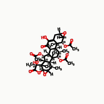 CC(=O)O[C@H]1[C@@H]2[C@H]([C@H](C)[C@@H]3O[C@]34OC(=O)[C@@](C)(O)[C@]24C)[C@]2(C)[C@@H]1C1C(=O)C(O)=C3C[C@@H]4O[C@@H]4[C@H](OC(C)=O)[C@]3(C)[C@H]1[C@H](C)[C@@H]2OC(C)=O